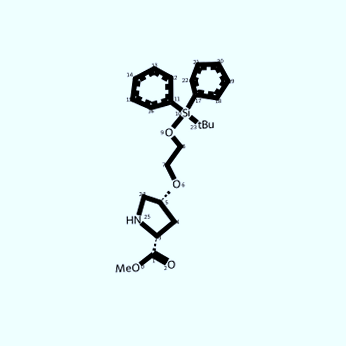 COC(=O)[C@H]1C[C@@H](OCCO[Si](c2ccccc2)(c2ccccc2)C(C)(C)C)CN1